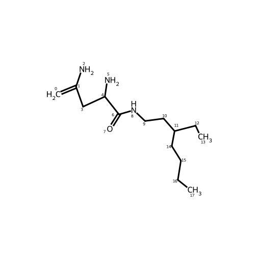 C=C(N)CC(N)C(=O)NCCC(CC)CCCC